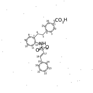 O=C(O)c1ccc(CCc2ccccc2NS(=O)(=O)C=Cc2ccccc2)cc1